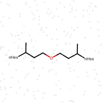 CCCCCCC(C)CCOCCC(C)CCCCCC